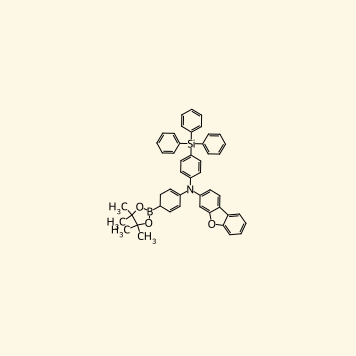 CC1(C)OB(C2C=CC(N(c3ccc([Si](c4ccccc4)(c4ccccc4)c4ccccc4)cc3)c3ccc4c(c3)oc3ccccc34)=CC2)OC1(C)C